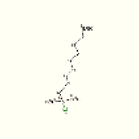 CCCCCCCCCCCCCCCCCC[Si](Cl)(CCCC)CCCC